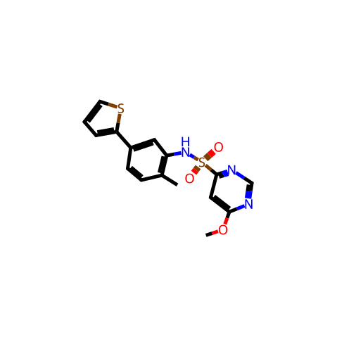 COc1cc(S(=O)(=O)Nc2cc(-c3cccs3)ccc2C)ncn1